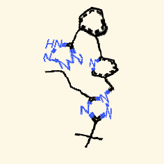 CCCCc1nc(C(C)(C)C)nn1Cc1ccc(-c2ccccc2-c2nnn[nH]2)nc1